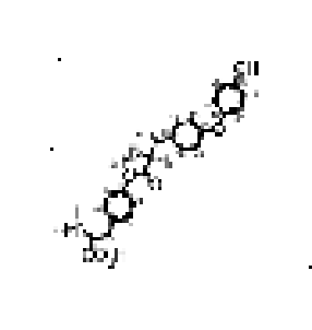 O=C(O)[C@H](Cc1ccc(OC(=O)[C@](I)(Cc2ccc(Oc3ccc(O)cc3)cc2)N(I)I)cc1)NI